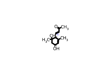 CC(=O)/C=C/[C@H]1C(C)=C[C@H](O)CC1(C)C